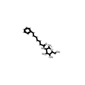 CC1OC(CO)C(O)C(O)C1NC(=O)CCCCCCc1ccccc1